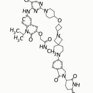 CNC(=O)COc1cc2cc(Nc3nc(N4CCC(O[C@H]5C[C@H](N6CC7(CCN(c8ccc9c(c8)CN(C8CCC(=O)NC8=O)C9=O)CC7)C6)C5)CC4)ncc3Cl)ccc2n(C(C)C)c1=O